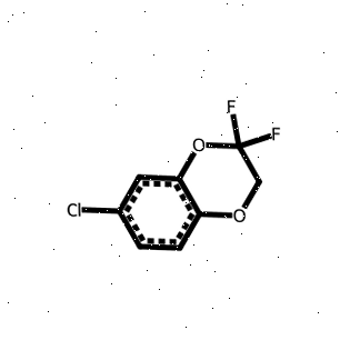 FC1(F)COc2ccc(Cl)cc2O1